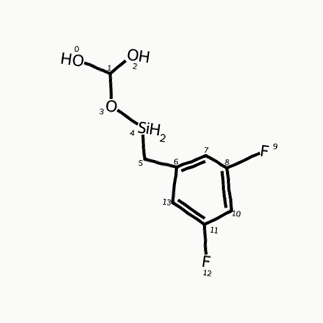 OC(O)O[SiH2]Cc1cc(F)cc(F)c1